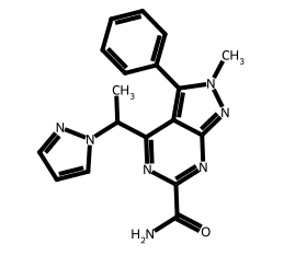 CC(c1nc(C(N)=O)nc2nn(C)c(-c3ccccc3)c12)n1cccn1